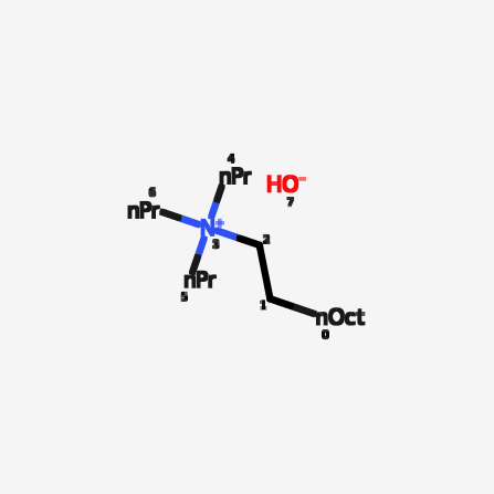 CCCCCCCCCC[N+](CCC)(CCC)CCC.[OH-]